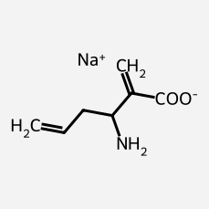 C=CCC(N)C(=C)C(=O)[O-].[Na+]